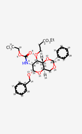 CCOC(=O)CCO[C@@H]1[C@@H](NC(=O)OCC(Cl)(Cl)Cl)[C@@H](OCc2ccccc2)O[C@@H]2CO[C@@H](c3ccccc3)O[C@@H]12